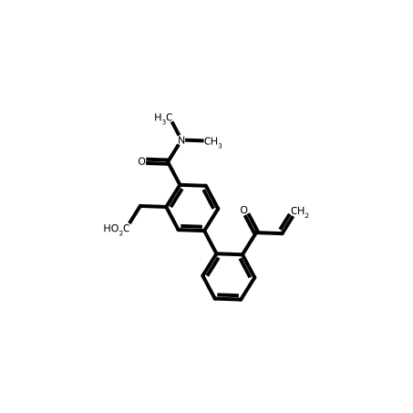 C=CC(=O)c1ccccc1-c1ccc(C(=O)N(C)C)c(CC(=O)O)c1